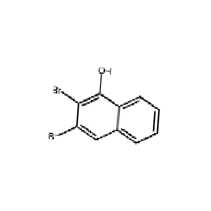 Oc1c(Br)c(Br)cc2ccccc12